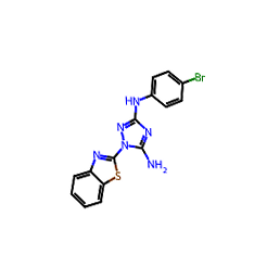 Nc1nc(Nc2ccc(Br)cc2)nn1-c1nc2ccccc2s1